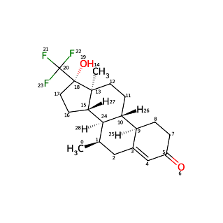 C[C@@H]1CC2=CC(=O)CC[C@@H]2[C@H]2CC[C@@]3(C)[C@@H](CC[C@@]3(O)C(F)(F)F)[C@@H]21